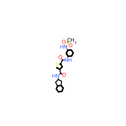 CS(=O)(=O)Nc1cccc(NC(=O)c2cc(C(=O)NC3Cc4ccccc4C3)cs2)c1